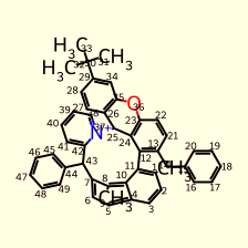 Cc1ccc2ccc3c(C)c2c1-c1c(Cc2ccccc2)ccc2c1C(c1ccc(C(C)(C)C)cc1O2)[n+]1ccccc1C3c1ccccc1